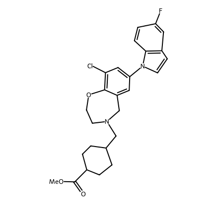 COC(=O)C1CCC(CN2CCOc3c(Cl)cc(-n4ccc5cc(F)ccc54)cc3C2)CC1